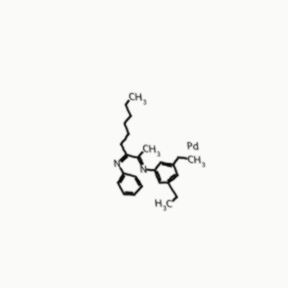 CCCCCCC(=Nc1ccccc1)C(C)=Nc1cc(CC)cc(CC)c1.[Pd]